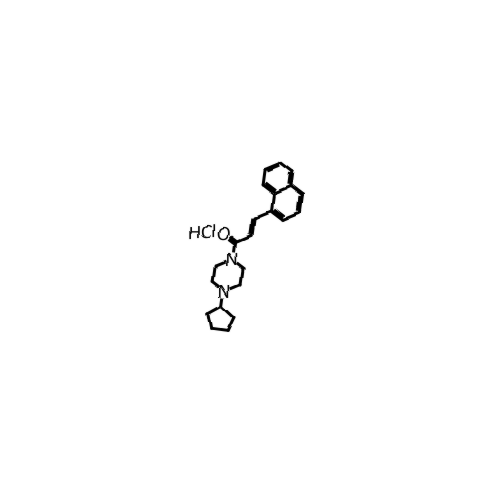 Cl.O=C(C=Cc1cccc2ccccc12)N1CCN(C2CCCC2)CC1